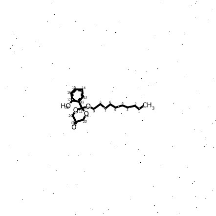 CCCCCCCCCCOC1(c2ccccc2O)OCC(=O)CO1